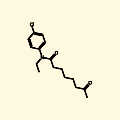 CCN(C(=O)CCCCCC(C)=O)c1ccc(Cl)cc1